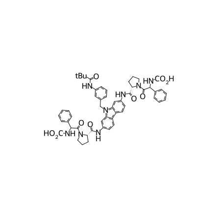 CC(C)(C)C(=O)Nc1cccc(Cn2c3cc(NC(=O)[C@@H]4CCCN4C(=O)C(NC(=O)O)c4ccccc4)ccc3c3ccc(NC(=O)[C@@H]4CCCN4C(=O)C(NC(=O)O)c4ccccc4)cc32)c1